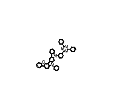 c1ccc(-c2nc(-c3ccccc3)nc(-c3cccc(-n4c5ccccc5c5cc6c7c8oc9ccccc9c8ccc7n(-c7ccccc7)c6cc54)c3)n2)cc1